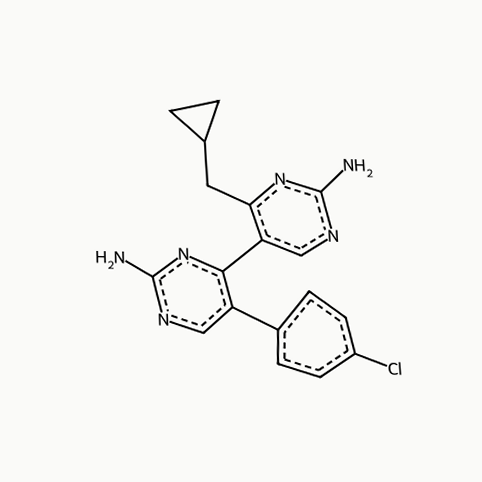 Nc1ncc(-c2nc(N)ncc2-c2ccc(Cl)cc2)c(CC2CC2)n1